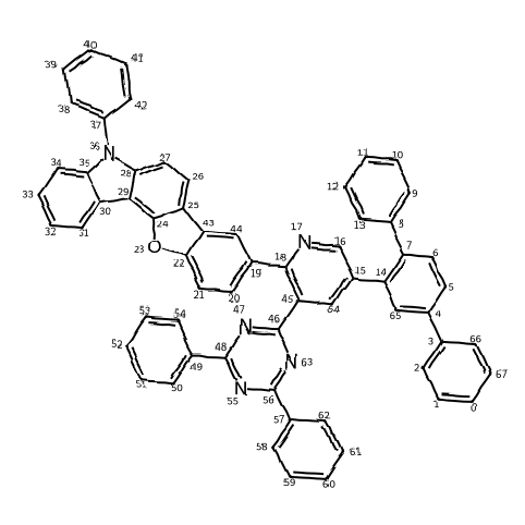 c1ccc(-c2ccc(-c3ccccc3)c(-c3cnc(-c4ccc5oc6c(ccc7c6c6ccccc6n7-c6ccccc6)c5c4)c(-c4nc(-c5ccccc5)nc(-c5ccccc5)n4)c3)c2)cc1